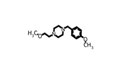 COCCN1CCN(Cc2ccc(OC)cc2)CC1